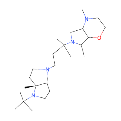 CC1C2OCCN(C)C2CN1C(C)(C)CCN1CC[C@]2(C)C1CCN2C(C)(C)C